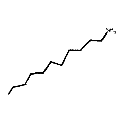 CC[CH]CCCCCCCCN